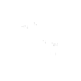 O=CC1NCN(c2ccc3[nH]cnc3c2)C1c1ccccc1